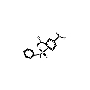 O=[N+]([O-])c1ccc(S(=O)(=O)Nc2ccccc2)c([N+](=O)[O-])c1